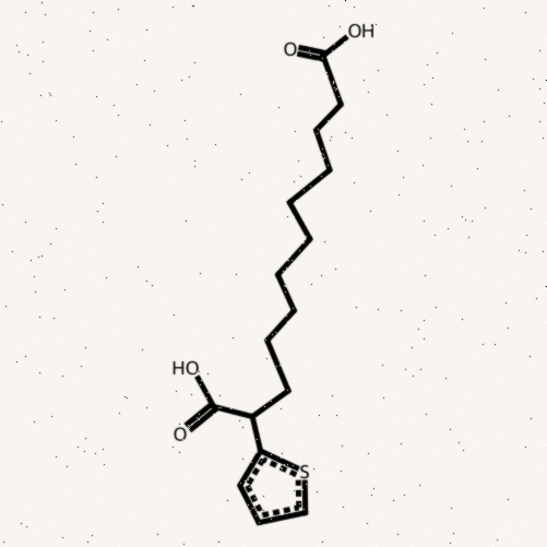 O=C(O)CCCCCCCCCC(C(=O)O)c1cccs1